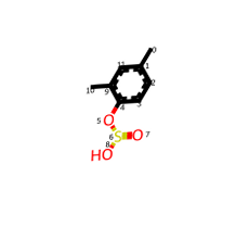 Cc1ccc(OS(=O)O)c(C)c1